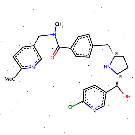 COc1ccc(CN(C)C(=O)c2ccc(C[C@@H]3CC[C@H](C(O)c4ccc(Cl)nc4)N3)cc2)cn1